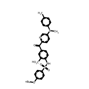 CCCCOc1ccc(S(=O)(=O)Nc2ccc(C(=O)c3ccc(N(C)c4ccc(C)cc4)cn3)cc2C(=O)O)cc1